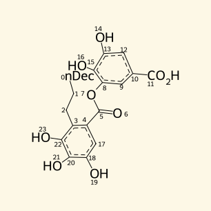 CCCCCCCCCCCCc1c(C(=O)Oc2cc(C(=O)O)cc(O)c2O)cc(O)c(O)c1O